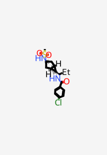 CCC(NC(=O)c1ccc(Cl)cc1)[C@H]1[C@@H]2C[C@@H](NS(C)(=O)=O)C[C@@H]21